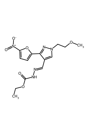 CCOC(=O)NN=Cc1cn(CCOC)nc1-c1ccc([N+](=O)[O-])o1